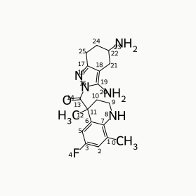 Cc1cc(F)cc2c1NCCC2(C)C(=O)n1nc2c(c1N)CC(N)CC2